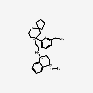 CCO[C@H]1CC[C@H](NCC[C@@]2(c3cccc(CC(C)C)n3)CCOC3(CCCC3)C2)c2ccccc21